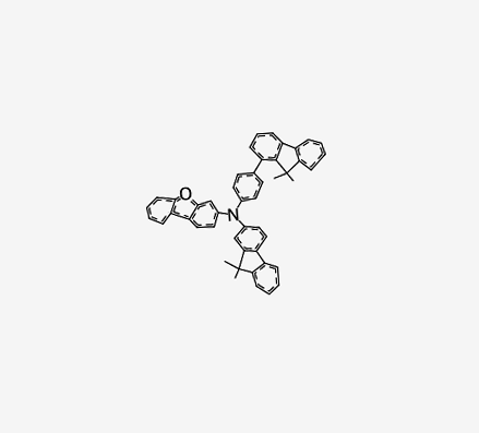 CC1(C)c2ccccc2-c2ccc(N(c3ccc(-c4cccc5c4C(C)(C)c4ccccc4-5)cc3)c3ccc4c(c3)oc3ccccc34)cc21